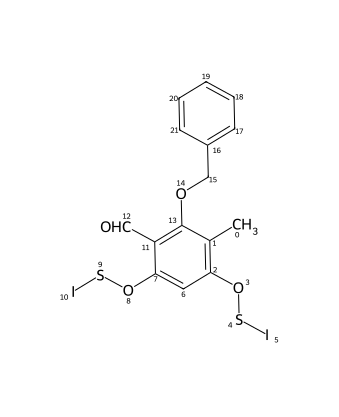 Cc1c(OSI)cc(OSI)c(C=O)c1OCc1ccccc1